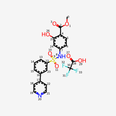 COC(=O)c1ccc(NS(=O)(=O)c2cccc(-c3ccncc3)c2)cc1O.O=C(O)C(F)(F)F